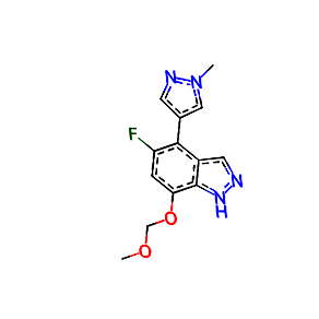 COCOc1cc(F)c(-c2cnn(C)c2)c2cn[nH]c12